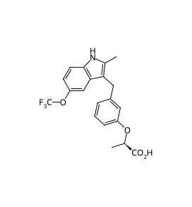 Cc1[nH]c2ccc(OC(F)(F)F)cc2c1Cc1cccc(O[C@H](C)C(=O)O)c1